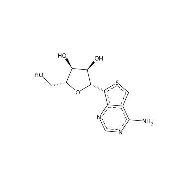 Nc1ncnc2c([C@@H]3O[C@H](CO)[C@@H](O)[C@H]3O)scc12